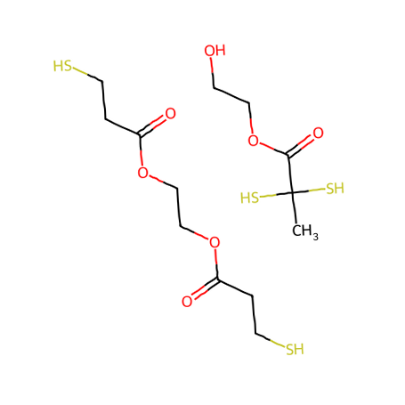 CC(S)(S)C(=O)OCCO.O=C(CCS)OCCOC(=O)CCS